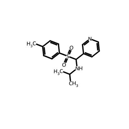 Cc1ccc(S(=O)(=O)C(NC(C)C)c2cccnc2)cc1